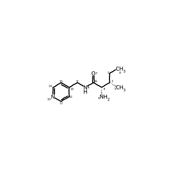 CC[C@H](C)[C@H](N)C(=O)NCc1ccncc1